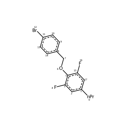 CCCc1cc(F)c(OCc2ccc(Br)cc2)c(F)c1